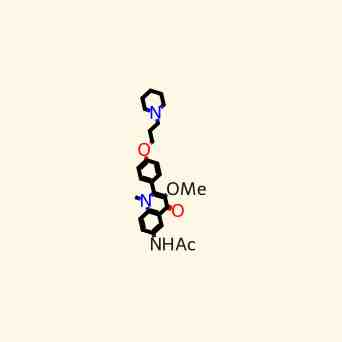 COc1c(-c2ccc(OCCCN3CCCCC3)cc2)n(C)c2ccc(NC(C)=O)cc2c1=O